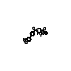 NC1(C(=O)N2CCN(C(=O)c3ccc(-c4ccc5ocnc5c4)cc3)CC2)CCC1